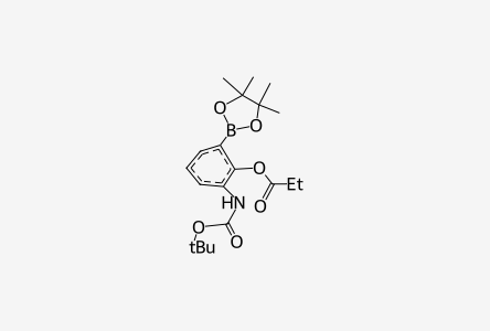 CCC(=O)Oc1c(NC(=O)OC(C)(C)C)cccc1B1OC(C)(C)C(C)(C)O1